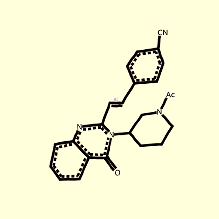 CC(=O)N1CCCC(n2c(/C=C/c3ccc(C#N)cc3)nc3ccccc3c2=O)C1